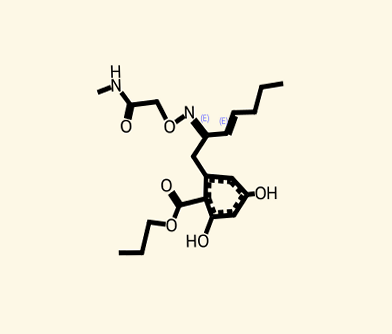 CCC/C=C/C(Cc1cc(O)cc(O)c1C(=O)OCCC)=N/OCC(=O)NC